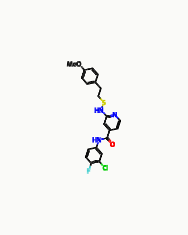 COc1ccc(CCSNc2cc(C(=O)Nc3ccc(F)c(Cl)c3)ccn2)cc1